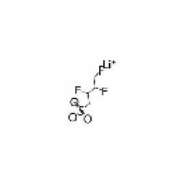 O=S(=O)([O-])CC(F)C(F)CF.[Li+]